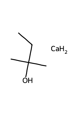 CCC(C)(C)O.[CaH2]